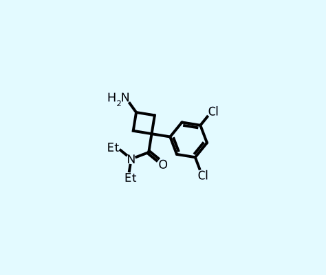 CCN(CC)C(=O)C1(c2cc(Cl)cc(Cl)c2)CC(N)C1